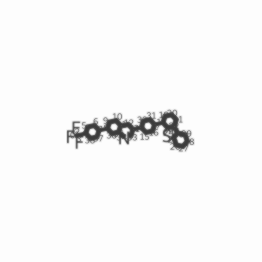 FC(F)(F)c1ccc(-c2ccc3cc(-c4ccc(-c5cccc6c5sc5ccccc56)cc4)cnc3c2)cc1